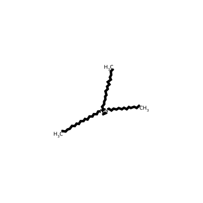 CCCCCCCCCCCCCCCCCC[n+]1ccn(CCCCCCCCCCCCCC)c1CCCCCCCCCCCCCCCCC